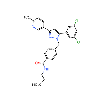 O=C(O)CCNC(=O)c1ccc(Cn2nc(-c3ccc(C(F)(F)F)nc3)cc2-c2cc(Cl)cc(Cl)c2)cc1